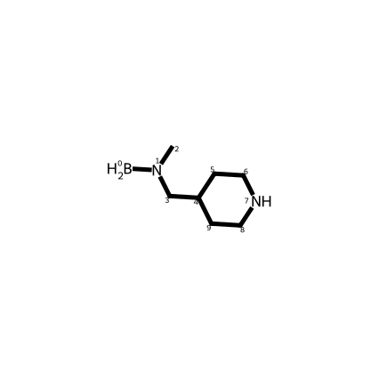 BN(C)CC1CCNCC1